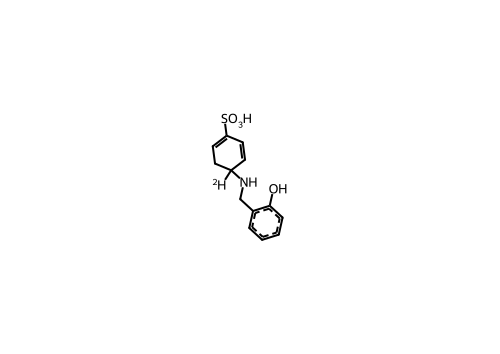 [2H]C1(NCc2ccccc2O)C=CC(S(=O)(=O)O)=CC1